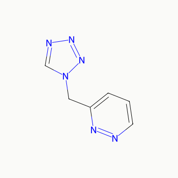 c1cnnc(Cn2cnnn2)c1